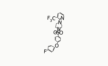 O=S(=O)(c1ccc(Oc2ccc(F)cc2)cc1)N1CCN(c2ncccc2C(F)(F)F)CC1